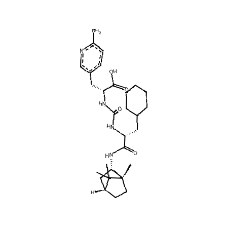 CC1(C)[C@@H]2CC[C@@]1(C)[C@@H](NC(=O)[C@@H](CC1CCCCC1)NC(=O)N[C@H](Cc1ccc(N)nc1)C(=O)O)C2